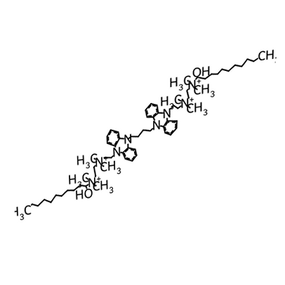 CCCCCCCCCCC(O)[N+](C)(C)CC[N+](C)(C)CCN1c2ccccc2N(CCCCN2c3ccccc3N(CC[N+](C)(C)CC[N+](C)(C)C(O)CCCCCCCCCC)c3ccccc32)c2ccccc21